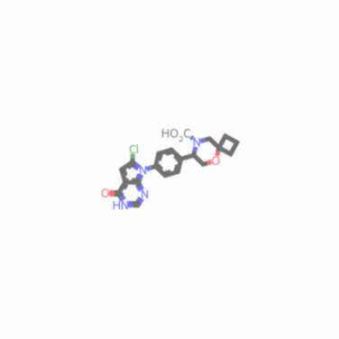 O=C(O)N1CC2(CCC2)OCC1c1ccc(-n2c(Cl)cc3c(=O)[nH]cnc32)cc1